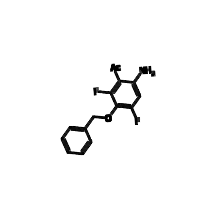 CC(=O)c1c(N)cc(F)c(OCc2ccccc2)c1F